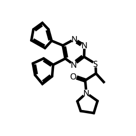 CC(Sc1nnc(-c2ccccc2)c(-c2ccccc2)n1)C(=O)N1CCCC1